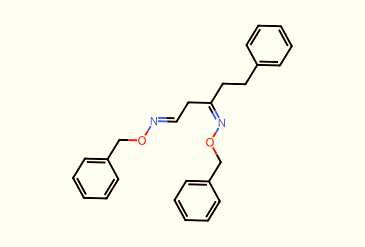 C(CC(CCc1ccccc1)=NOCc1ccccc1)=NOCc1ccccc1